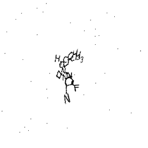 CC(C)(C)CC(=O)N1c2nc3cc(F)c(C#N)cc3n2C12CCC2